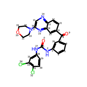 O=C(Nc1cccc(C(=O)c2ccc3ncc(N4CCOCC4)nc3c2)c1)Nc1ccc(Cl)c(Cl)c1